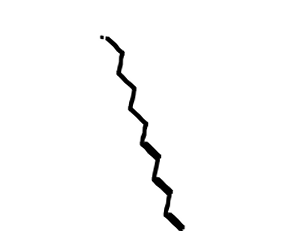 [CH2]CCCCCC=CC=CC=C